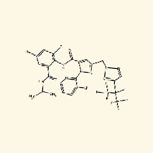 CC(C)NC(=O)c1cc(Cl)cc(Cl)c1NC(=O)c1cc(Cn2ncc(C(F)(C(F)(F)F)C(F)(F)F)n2)nn1-c1ncccc1Cl